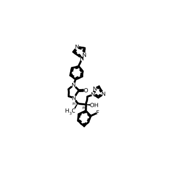 C[C@@H](N1CCN(c2ccc(-n3cncn3)cc2)C1=O)[C@](O)(Cn1cncn1)c1ccccc1F